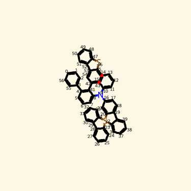 c1ccc(-c2cccc(N(c3ccccc3)c3ccc4c(c3)S3(c5ccccc5-c5ccccc53)c3ccccc3-4)c2-c2ccc3sc4ccccc4c3c2)cc1